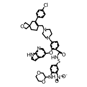 O=C(NSc1ccc(NC2COCCO2)c([N+](=O)[O-])c1)c1ccc(N2CCN(CC3=C(c4ccc(Cl)cc4)CC4(CC3)COC4)CC2)cc1Oc1cnc2[nH]ccc2c1